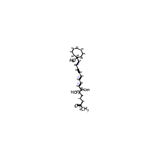 CC(=O)CCC[C@H](O)[C@H](O)/C=C/C=C/C#C/C=C/C1(O)CCCCCCC1